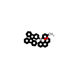 Cc1ccc(N(C2=CC=C3c4ccccc4C4(c5ccccc5-c5ccccc54)C3C2)c2cccc3ccc4ccccc4c23)cc1